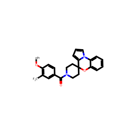 CCCOc1ccc(C(=O)N2CCC3(CC2)Oc2ccccc2-n2cccc23)cc1C(F)(F)F